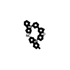 Cc1ccc2c3ccc(C#N)cc3n(-c3ccc4oc5ccc(-c6cccc(-n7c8ccccc8c8ccccc87)c6)cc5c4c3)c2c1